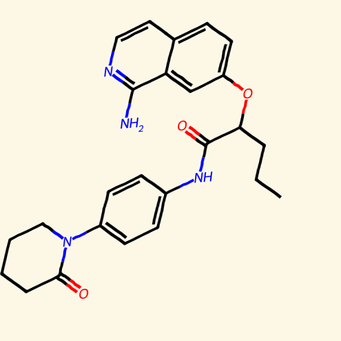 CCCC(Oc1ccc2ccnc(N)c2c1)C(=O)Nc1ccc(N2CCCCC2=O)cc1